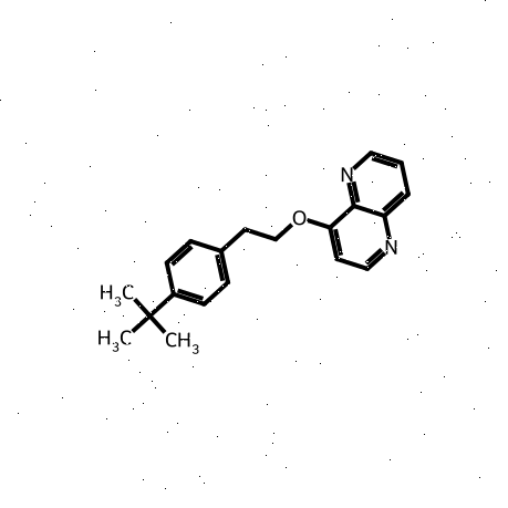 CC(C)(C)c1ccc(CCOc2ccnc3cccnc23)cc1